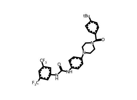 CC(C)(C)c1ccc(C(=O)N2CCN(c3ccc(NC(=O)Nc4cc(C(F)(F)F)cc(C(F)(F)F)c4)cc3)CC2)cc1